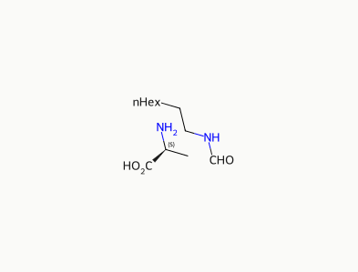 CCCCCCCCNC=O.C[C@H](N)C(=O)O